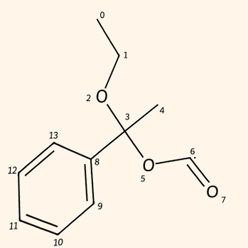 CCOC(C)(O[C]=O)c1ccccc1